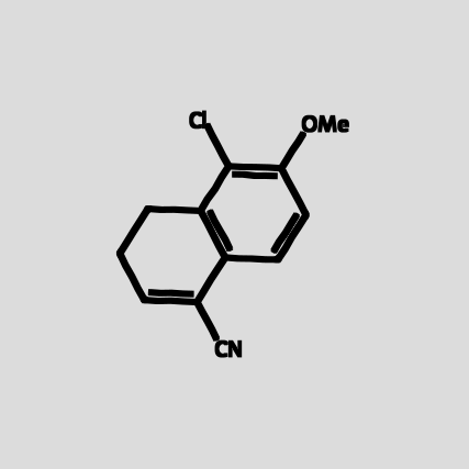 COc1ccc2c(c1Cl)CCC=C2C#N